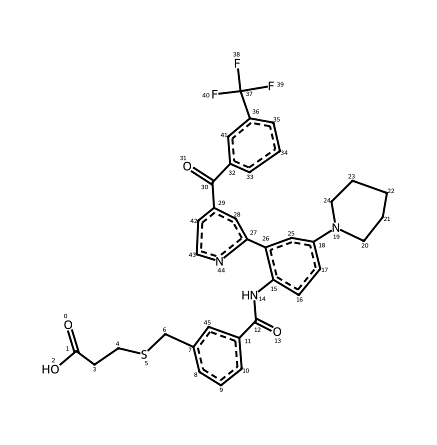 O=C(O)CCSCc1cccc(C(=O)Nc2ccc(N3CCCCC3)cc2-c2cc(C(=O)c3cccc(C(F)(F)F)c3)ccn2)c1